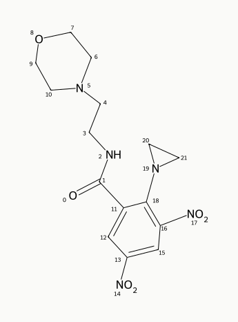 O=C(NCCN1CCOCC1)c1cc([N+](=O)[O-])cc([N+](=O)[O-])c1N1CC1